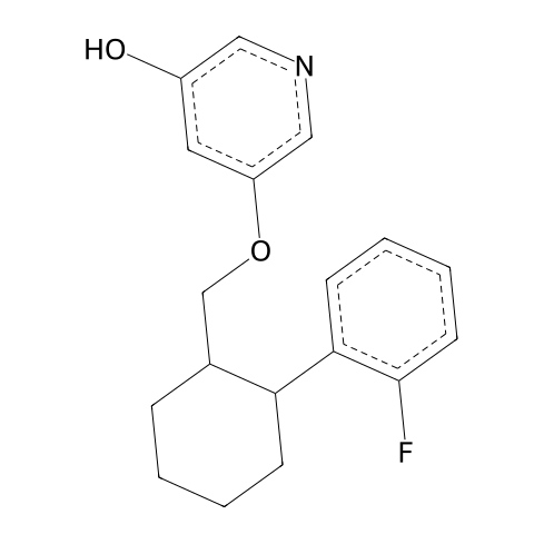 Oc1cncc(OCC2CCCCC2c2ccccc2F)c1